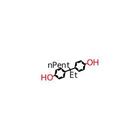 CCCCCC(CC)(c1ccc(O)cc1)c1ccc(O)cc1